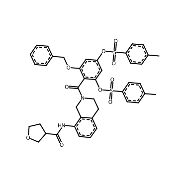 Cc1ccc(S(=O)(=O)Oc2cc(OCc3ccccc3)c(C(=O)N3CCc4cccc(NC(=O)C5CCOC5)c4C3)c(OS(=O)(=O)c3ccc(C)cc3)c2)cc1